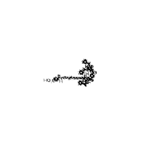 O=C(O)c1ccc(C(=O)NCCOCCCCCCCCCCCCNC(=O)[C@@H]2CN(C(=O)c3ccc(C(=O)N4C[C@@H](C(=O)N[C@H]5C[C@@H]5c5ccccc5)[C@H](C(=O)N[C@H]5C[C@@H]5c5ccccc5)C4)cc3)C[C@H]2C(=O)N[C@H]2C[C@@H]2c2ccccc2)cc1